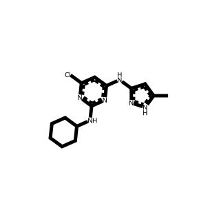 Cc1cc(Nc2cc(Cl)nc(NC3CCCCC3)n2)n[nH]1